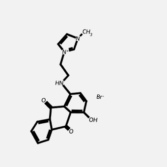 Cn1cc[n+](CCNc2ccc(O)c3c2C(=O)c2ccccc2C3=O)c1.[Br-]